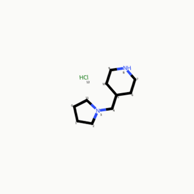 C1CCN(CC2CCNCC2)C1.Cl